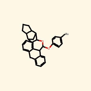 CCC(C)c1ccc(OC(OC2CC3CC2C2CCCC32)C2c3ccccc3Cc3ccccc32)cc1